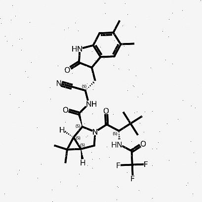 Cc1cc2c(cc1C)C(C[C@@H](C#N)NC(=O)[C@@H]1[C@H]3[C@H](CN1C(=O)[C@@H](NC(=O)C(F)(F)F)C(C)(C)C)C3(C)C)C(=O)N2